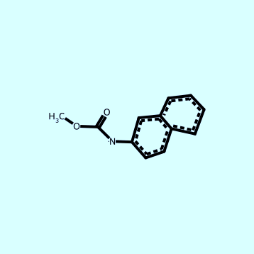 COC(=O)[N]c1ccc2ccccc2c1